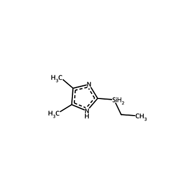 CC[SiH2]c1nc(C)c(C)[nH]1